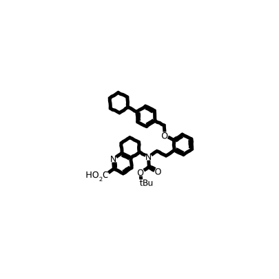 CC(C)(C)OC(=O)N(CCc1ccccc1OCc1ccc(C2CCCCC2)cc1)C1CCCc2nc(C(=O)O)ccc21